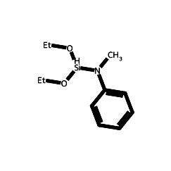 CCO[SiH](OCC)N(C)c1ccccc1